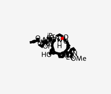 CC#CC(=O)N1CC[C@](O)(C(=O)N(C)[C@H](C(=O)N[C@H]2Cc3cc(O)cc(c3)-c3ccc4c(c3)c(c(-c3cccnc3[C@H](C)OC)n4CC)CC(C)(C)COC(=O)[C@@H]3CCCN(N3)C2=O)C(C)C)C1